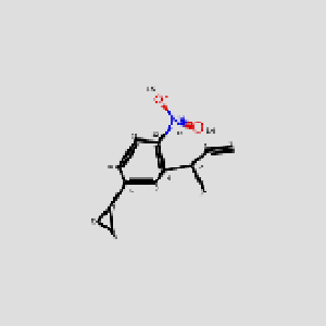 C=C[C](C)c1cc(C2CC2)ccc1[N+](=O)[O-]